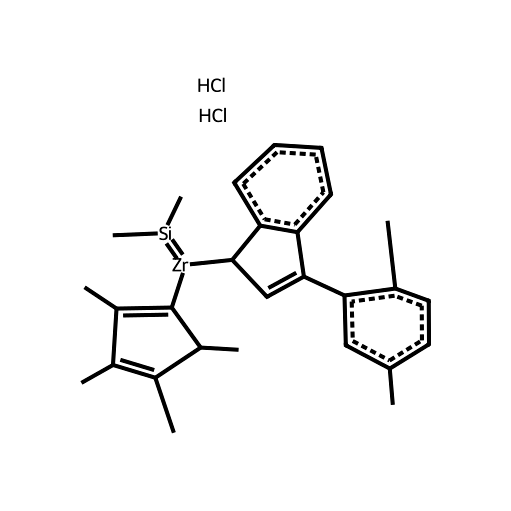 CC1=C(C)C(C)[C]([Zr]([CH]2C=C(c3cc(C)ccc3C)c3ccccc32)=[Si](C)C)=C1C.Cl.Cl